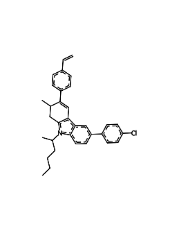 C=Cc1ccc(C2=Cc3c(n(C(C)CCCC)c4ccc(-c5ccc(Cl)cc5)cc34)CC2C)cc1